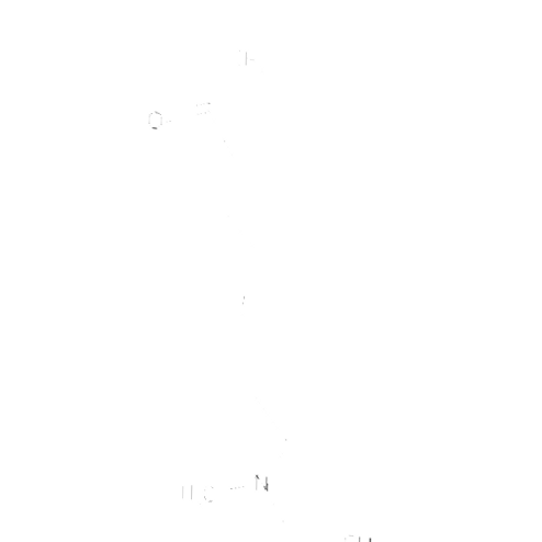 CCN(C)CCCCCCCC(C)=O